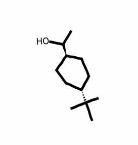 CC(O)[C@H]1CC[C@H](C(C)(C)C)CC1